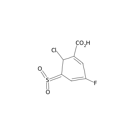 O=C(O)C1=CC(F)=CC(=S(=O)=O)C1Cl